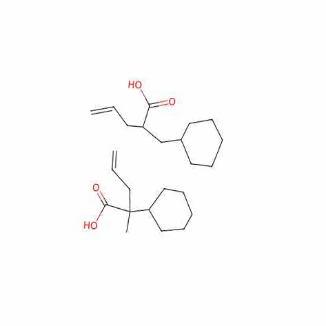 C=CCC(C)(C(=O)O)C1CCCCC1.C=CCC(CC1CCCCC1)C(=O)O